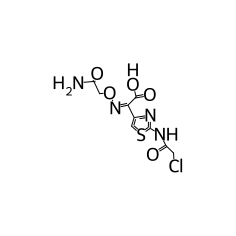 NC(=O)CON=C(C(=O)O)c1csc(NC(=O)CCl)n1